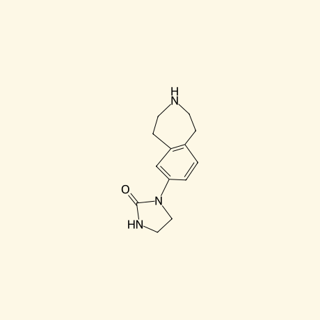 O=C1NCCN1c1ccc2c(c1)CCNCC2